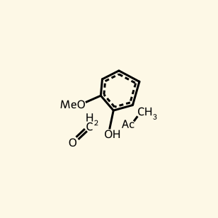 C=O.CC(C)=O.COc1ccccc1O